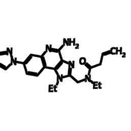 C=CCC(=O)N(CC)Cc1nc2c(N)nc3cc(-n4cccn4)ccc3c2n1CC